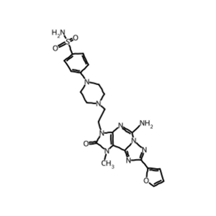 Cn1c(=O)n(CCN2CCN(c3ccc(S(N)(=O)=O)cc3)CC2)c2nc(N)n3nc(-c4ccco4)nc3c21